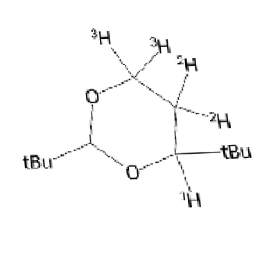 [1H]C1(C(C)(C)C)OC(C(C)(C)C)OC([3H])([3H])C1([2H])[2H]